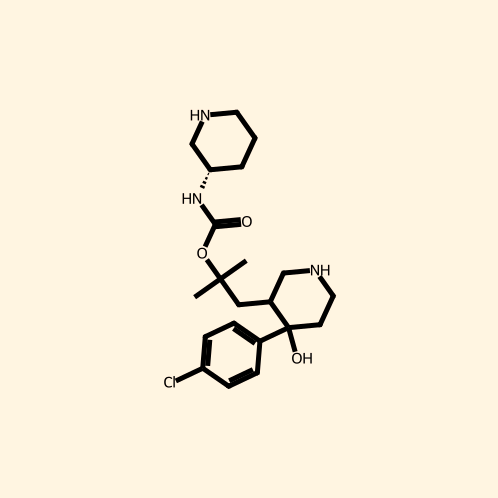 CC(C)(CC1CNCCC1(O)c1ccc(Cl)cc1)OC(=O)N[C@H]1CCCNC1